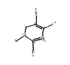 CN1CC(F)=C(I)N=C1F